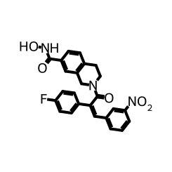 O=C(NO)c1ccc2c(c1)CN(C(=O)/C(=C\c1cccc([N+](=O)[O-])c1)c1ccc(F)cc1)CC2